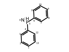 [N].c1ccc(Pc2ccccc2)cc1